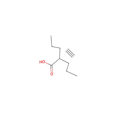 C#C.CCCC(CCC)C(=O)O